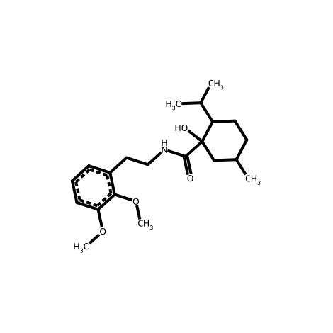 COc1cccc(CCNC(=O)C2(O)CC(C)CCC2C(C)C)c1OC